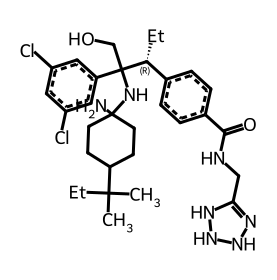 CC[C@H](c1ccc(C(=O)NCC2=NNNN2)cc1)C(CO)(NC1(N)CCC(C(C)(C)CC)CC1)c1cc(Cl)cc(Cl)c1